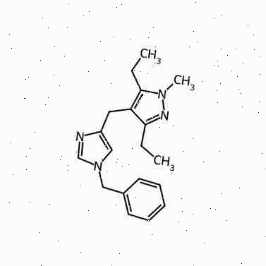 CCc1nn(C)c(CC)c1Cc1cn(Cc2ccccc2)cn1